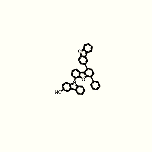 N#Cc1ccc2c(c1)c1ccccc1n2-c1cccc2c1oc1c(-c3ccccc3)ccc(-c3ccc4oc5ccccc5c4c3)c12